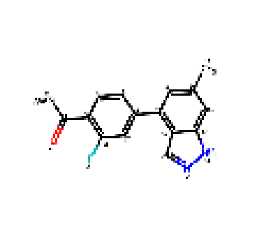 CNC(=O)c1ccc(-c2cc(C(F)(F)F)cc3[nH]ncc23)cc1F